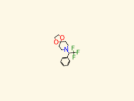 FC(F)(F)C(c1ccccc1)N1CCC2(CC1)OCCO2